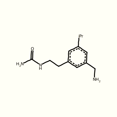 CC(C)c1cc(CN)cc(CCNC(N)=O)c1